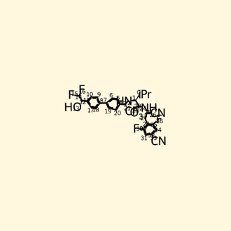 CC(C)[C@H](N[C@@H](c1ccc(-c2ccc([C@@H](O)C(F)F)cc2)cc1)C(F)(F)F)C(=O)NC(C#N)Cc1c(F)cc(C#N)cc1F